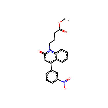 COC(=O)CCCn1c(=O)cc(-c2cccc([N+](=O)[O-])c2)c2ccccc21